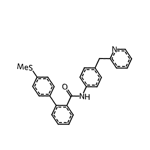 CSc1ccc(-c2ccccc2C(=O)Nc2ccc(Cc3ccccn3)cc2)cc1